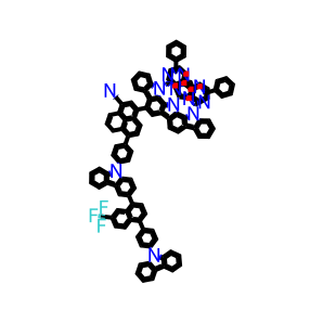 N#Cc1cc(-c2cc3c4ccc5c6ccccc6n(-c6nc(-c7ccccc7)nc(-c7ccccc7)n6)c5c4n(-c4ccccc4)c3c3c2c2ccccc2n3-c2nc(-c3ccccc3)nc(-c3ccccc3)n2)c2ccc(-c3ccc(-n4c5ccccc5c5cc(-c6ccc(-c7ccc(-n8c9ccccc9c9ccccc98)cc7)c7ccc(C(F)(F)F)cc67)ccc54)cc3)c3c2c1C=CC3